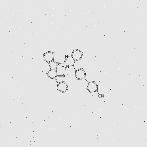 N#Cc1ccc(-c2ccc(C(N)c3ccccc3/N=C/n3c4ccccc4c4ccc5c6ccccc6sc5c43)cc2)cc1